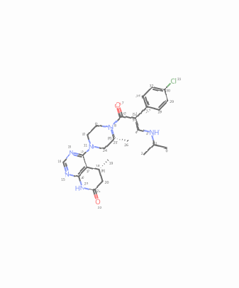 CC(C)NC[C@@H](C(=O)N1CCN(c2ncnc3c2[C@H](C)CC(=O)N3)C[C@H]1C)c1ccc(Cl)cc1